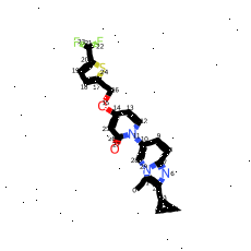 Cc1c(C2CC2)nc2ccc(-n3ccc(OCc4ccc(C(F)F)s4)cc3=O)cn12